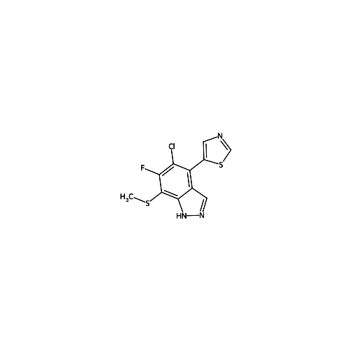 CSc1c(F)c(Cl)c(-c2cncs2)c2cn[nH]c12